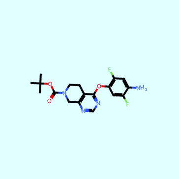 CC(C)(C)OC(=O)N1CCc2c(ncnc2Oc2cc(F)c(N)cc2F)C1